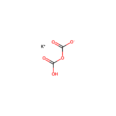 O=C([O-])OC(=O)O.[K+]